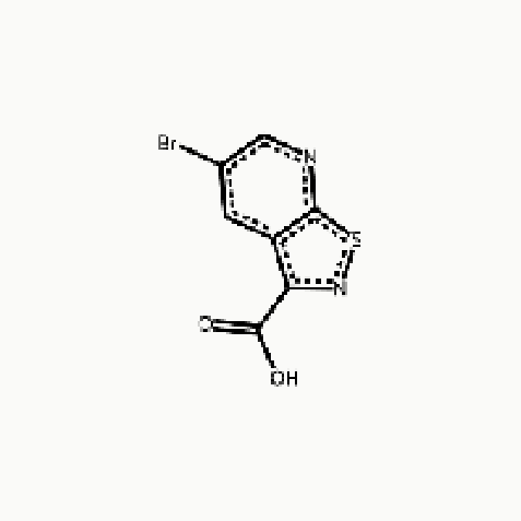 O=C(O)c1nsc2ncc(Br)cc12